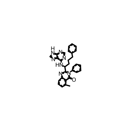 Cc1cccc2nc(C(CCCc3ccccc3)Nc3ncnc4[nH]cnc34)n(-c3ccccc3)c(=O)c12